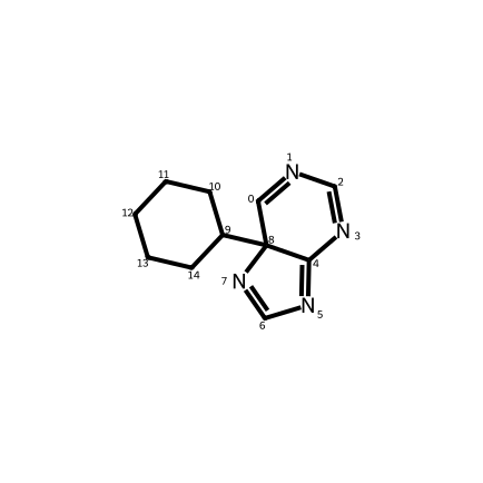 C1=NC=NC2=NC=NC12C1CCCCC1